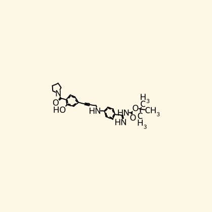 CC(C)(C)OC(=O)NC(=N)c1ccc(NCC#Cc2ccc(C(=O)N3CCCC3)c(O)c2)cc1